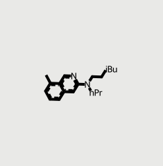 CCCN(CCC(C)CC)c1cc2cccc(C)c2cn1